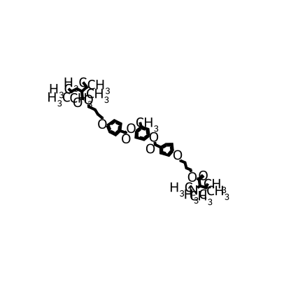 Cc1cc(OC(=O)c2ccc(OCCCCOC(=O)C(N(C)C)C(C)(C)C)cc2)ccc1OC(=O)c1ccc(OCCCCOC(=O)C(CC(C)(C)C)C(C)(C)C)cc1